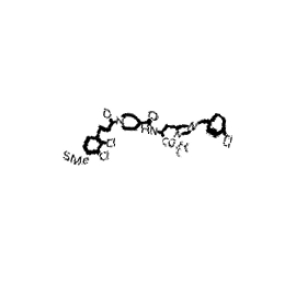 CSc1ccc(/C=C/C(=O)N2CCC(C(=O)NC(Cc3cn(Cc4ccc(Cl)cc4)cn3)C(=O)O)CC2)c(Cl)c1Cl